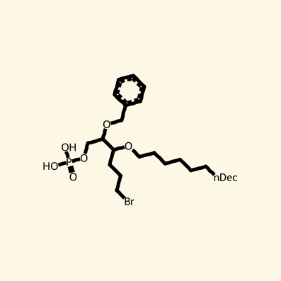 CCCCCCCCCCCCCCCCOC(CCCBr)C(COP(=O)(O)O)OCc1ccccc1